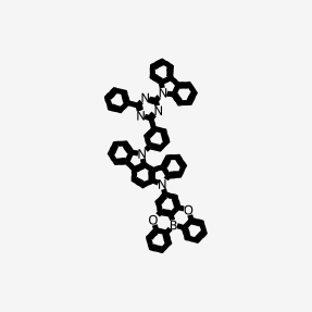 c1ccc(-c2nc(-c3cccc(-n4c5ccccc5c5ccc6c(c7ccccc7n6-c6cc7c8c(c6)Oc6ccccc6B8c6ccccc6O7)c54)c3)nc(-n3c4ccccc4c4ccccc43)n2)cc1